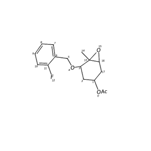 CC(=O)OC1CC(OCc2ccccc2F)C2(C)OC2C1